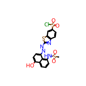 CS(=O)(=O)Nc1cccc2c(O)ccc(N=Nc3nc4ccc(S(=O)(=O)Cl)cc4s3)c12